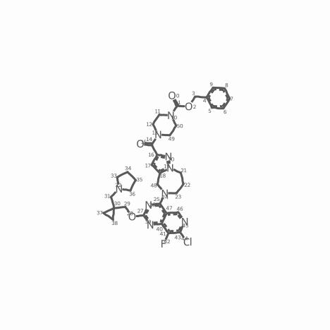 O=C(OCc1ccccc1)N1CCN(C(=O)c2cc3n(n2)CCCN(c2nc(OCC4(CN5CCCC5)CC4)nc4c(F)c(Cl)ncc24)C3)CC1